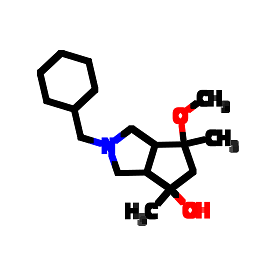 COC1(C)CC(C)(O)C2CN(CC3CCCCC3)CC21